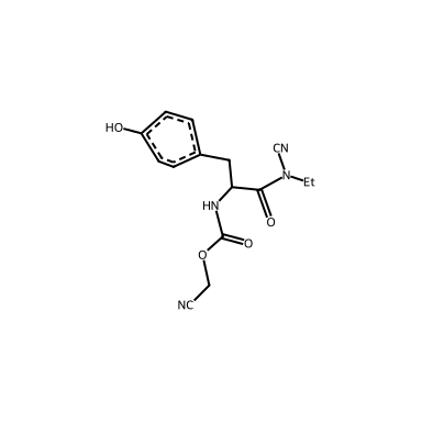 CCN(C#N)C(=O)C(Cc1ccc(O)cc1)NC(=O)OCC#N